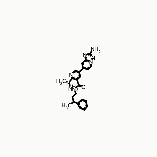 CC(CCNC(=O)c1cc(-c2ccn3nc(N)nc3c2)cnc1N(C)C)c1ccccc1